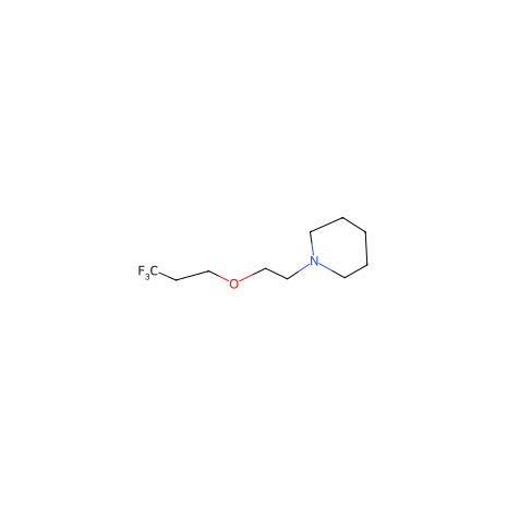 FC(F)(F)CCOCCN1CCCCC1